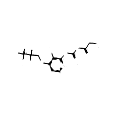 NCC(=O)NC(=O)Oc1nccc(OCC(F)(F)C(F)(F)C(F)(F)F)c1O